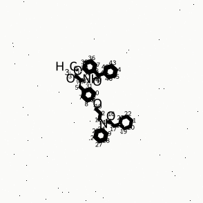 COC(=O)[C@H](Cc1ccc(OCCCN(C(=O)CC2CCCCC2)c2ccccc2)cc1)Nc1ccccc1C(=O)c1ccccc1